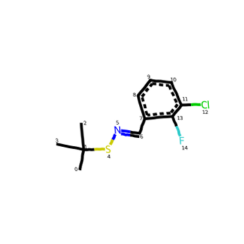 CC(C)(C)S/N=C/c1cccc(Cl)c1F